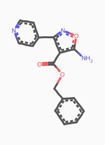 Nc1onc(-c2ccncc2)c1C(=O)OCc1ccccc1